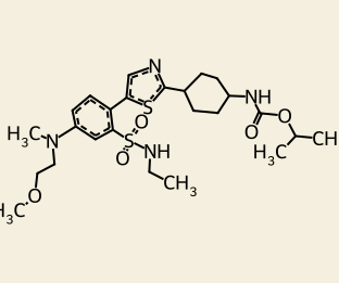 CCNS(=O)(=O)c1cc(N(C)CCOC)ccc1-c1cnc(C2CCC(NC(=O)OC(C)C)CC2)s1